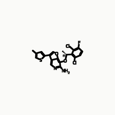 Cc1csc(-c2coc3c(O[C@H](C)c4c(Cl)ccc(F)c4Cl)c(N)ncc23)c1